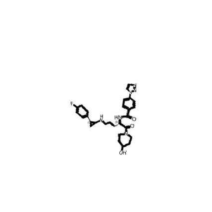 O=C(N[C@@H](CCCNC1C[C@H]1c1ccc(F)cc1)C(=O)N1CCC(O)CC1)c1ccc(-n2ccnn2)cc1